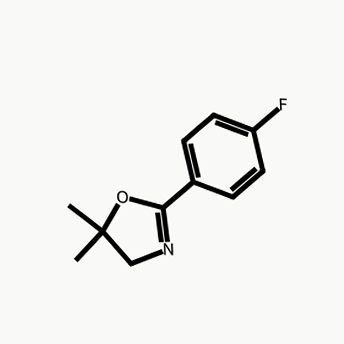 CC1(C)CN=C(c2ccc(F)cc2)O1